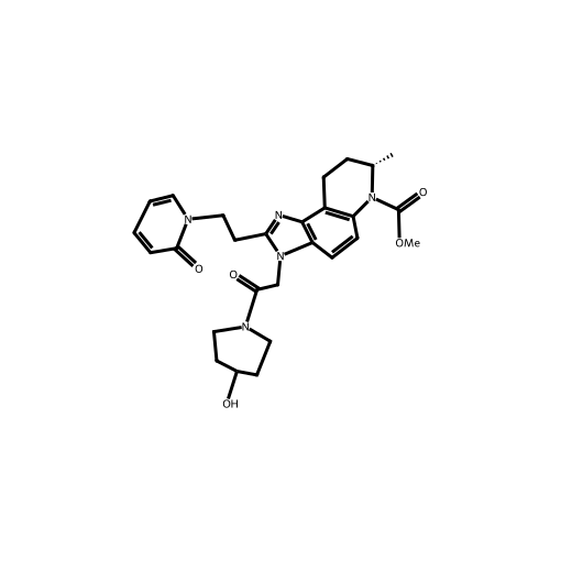 COC(=O)N1c2ccc3c(nc(CCn4ccccc4=O)n3CC(=O)N3CCC(O)CC3)c2CC[C@@H]1C